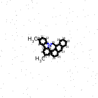 Cc1ccc2c(c1)c1cc(C)ccc1n2Cc1c2ccccc2cc2ccccc12